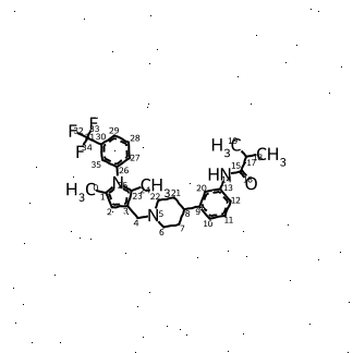 Cc1cc(CN2CCC(c3cccc(NC(=O)C(C)C)c3)CC2)c(C)n1-c1cccc(C(F)(F)F)c1